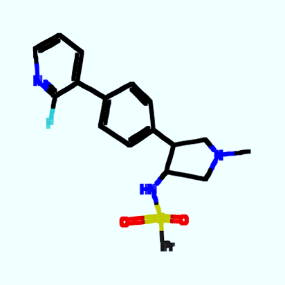 CC(C)S(=O)(=O)NC1CN(C)CC1c1ccc(-c2cccnc2F)cc1